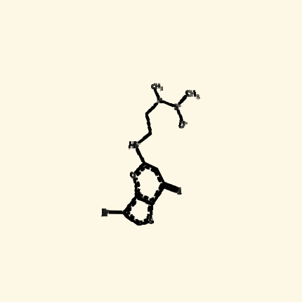 CN(CCNc1cc(=S)c2scc(Br)c2o1)[S+](C)[O-]